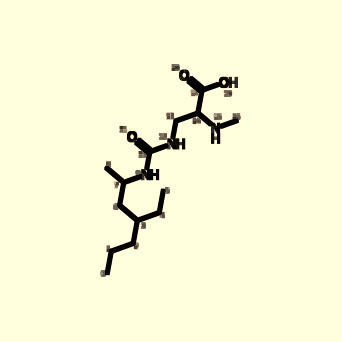 CCCC(CC)CC(C)NC(=O)NCC(NC)C(=O)O